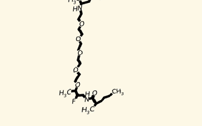 CCCCC(C)C(=O)NCC(F)C(C)OCCOCCOCCOCCOCCNC(C)CC